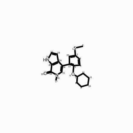 CSc1ccc(OC2CCCCC2)c(-c2cn(C)c(=O)c3[nH]ccc23)c1